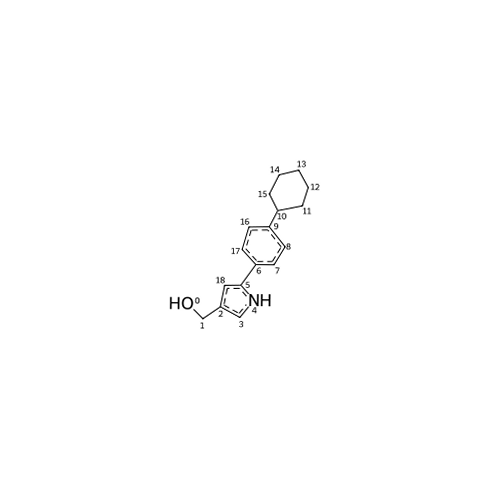 OCc1c[nH]c(-c2ccc(C3CCCCC3)cc2)c1